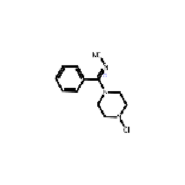 N#C/N=C(\c1ccccc1)N1CCN(Cl)CC1